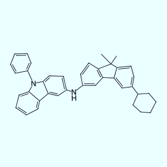 CC1(C)c2ccc(Nc3ccc4c(c3)c3ccccc3n4-c3ccccc3)cc2-c2cc(C3CCCCC3)ccc21